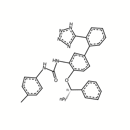 CCC[C@H](Oc1ccc(-c2ccccc2-c2nnn[nH]2)cc1NC(=O)Nc1ccc(C)cc1)c1ccccc1